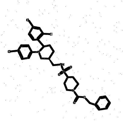 O=C(OCc1ccccc1)N1CCC(S(=O)(=O)NC[C@@H]2CCC(c3ccc(Cl)cc3Cl)N(c3ccc(Cl)cc3)C2)CC1